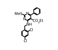 CCOC(=O)c1c(NCc2ccc(Cl)cc2Cl)nc(SC)nc1-c1ccccc1